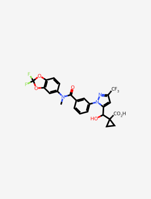 CN(C(=O)c1cccc(-n2nc(C(F)(F)F)cc2C(O)C2(C(=O)O)CC2)c1)c1ccc2c(c1)OC(F)(F)O2